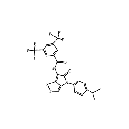 CC(C)c1ccc(-n2c3cssc-3c(NC(=O)c3cc(C(F)(F)F)cc(C(F)(F)F)c3)c2=O)cc1